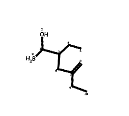 BC(O)C(CC)CC(=C)CC